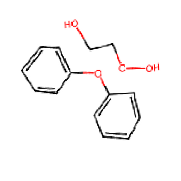 OCCOO.c1ccc(Oc2ccccc2)cc1